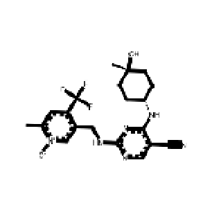 Cc1cc(C(F)(F)F)c(CNc2ncc(C#N)c(N[C@H]3CC[C@@](C)(O)CC3)n2)c[n+]1[O-]